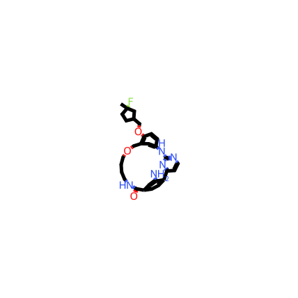 CC1(F)CCC(COc2ccc3cc2COCCCCNC(=O)c2ccc(c(N)c2)-c2ccnc(n2)N3)C1